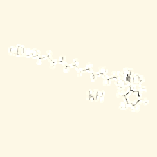 CCCCCCCCCCCCCCCCCCCCCCOS(=O)(=O)c1ccccc1.[KH]